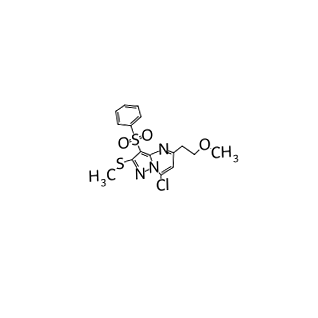 COCCc1cc(Cl)n2nc(SC)c(S(=O)(=O)c3ccccc3)c2n1